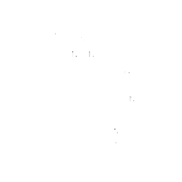 CC1(C2CCN(c3ncc(C(F)(F)F)cn3)CC2)Cc2cc(C3=CCN(S(C)(=O)=O)CC3)ncc2O1